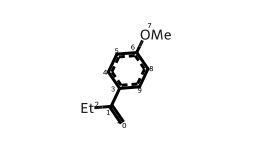 [CH]=C(CC)c1ccc(OC)cc1